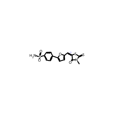 CN1C(=O)/C(=C\c2ccc(-c3ccc(S(N)(=O)=O)cc3)o2)SC1=S